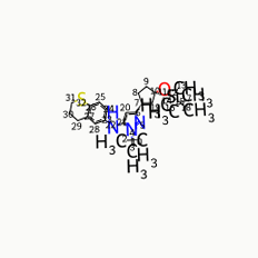 CC(C)(C)n1nc([C@H]2CC[C@@H](O[Si](C)(C)C(C)(C)C)C2)cc1Nc1ccc2c(c1)CCCS2